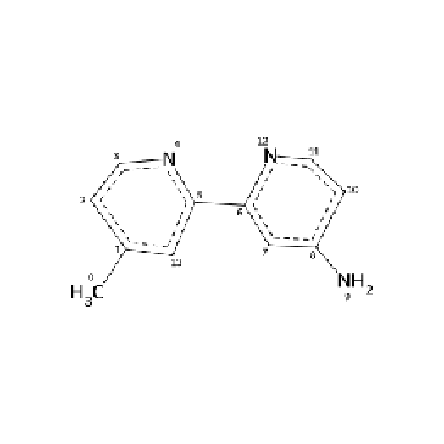 Cc1ccnc(-c2cc(N)ccn2)c1